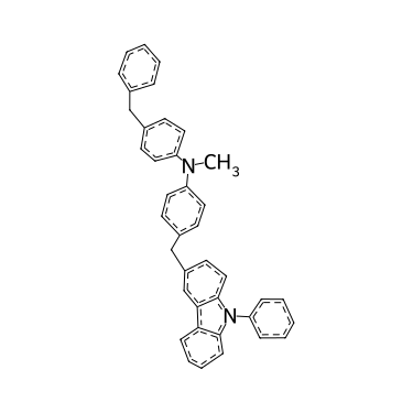 CN(c1ccc(Cc2ccccc2)cc1)c1ccc(Cc2ccc3c(c2)c2ccccc2n3-c2ccccc2)cc1